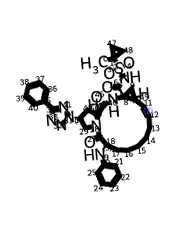 CC1(S(=O)(=O)NC(=O)[C@@]23C[C@H]2/C=C\CCCCC[C@H](Nc2ccccc2)C(=O)N2C[C@H](n4nnc(-c5ccccc5)n4)C[C@H]2C(=O)N3)CC1